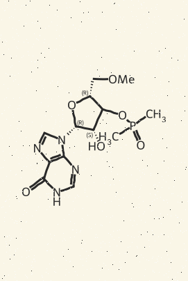 COC[C@H]1O[C@@H](n2cnc3c(=O)[nH]cnc32)[C@@H](O)C1OP(C)(C)=O